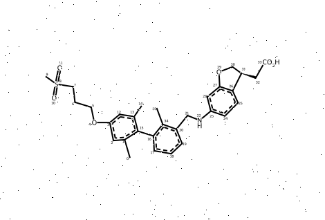 Cc1cc(OCCCS(C)(=O)=O)cc(C)c1-c1cccc(CNc2ccc3c(c2)OC[C@H]3CC(=O)O)c1C